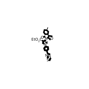 CCOC(=O)c1cn(-c2ccc(-c3cn4ccsc4n3)cc2)nc1N(C(=O)[C@H]1CC[C@H](C)CC1)C1CCOC1